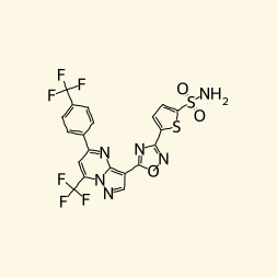 NS(=O)(=O)c1ccc(-c2noc(-c3cnn4c(C(F)(F)F)cc(-c5ccc(C(F)(F)F)cc5)nc34)n2)s1